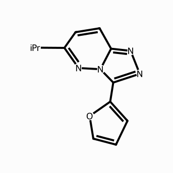 CC(C)c1ccc2nnc(-c3ccco3)n2n1